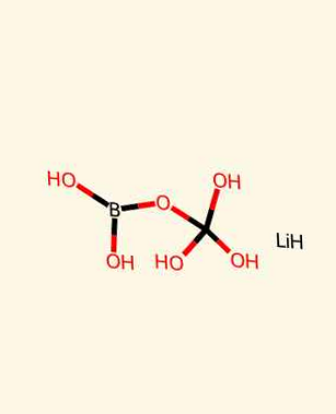 OB(O)OC(O)(O)O.[LiH]